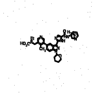 CCN(Cc1cncc(-c2ccc3c(c2)c(-c2ncc(C(=O)N[C@@H]4CN5CCC4CC5)[nH]2)nn3C2CCCCO2)c1C)C(=O)O